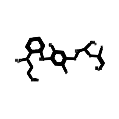 CNCCN(C)c1ccccc1Nc1cc(F)c(SNC(C)S/C(F)=C\N)cc1Cl